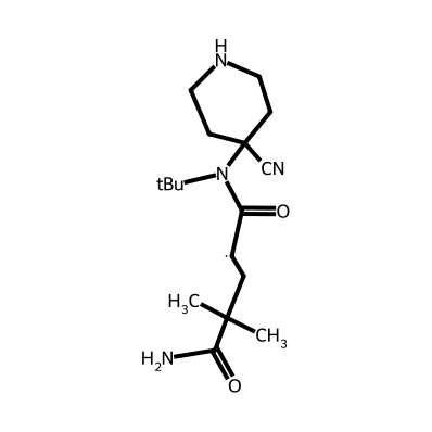 CC(C)(C[CH]C(=O)N(C(C)(C)C)C1(C#N)CCNCC1)C(N)=O